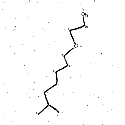 CC(C)CCCCCOCCO